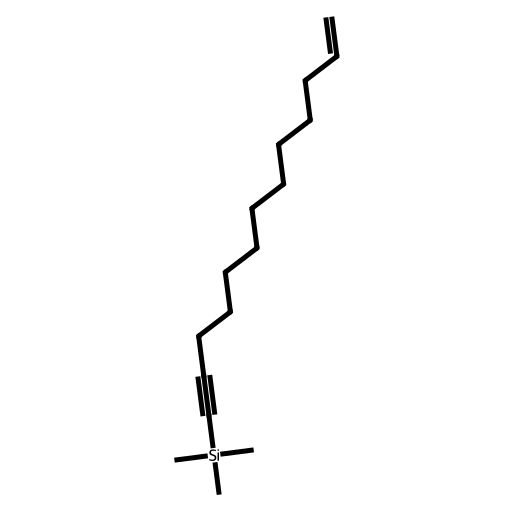 C=CCCCCCCCCCC#C[Si](C)(C)C